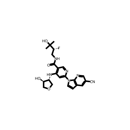 CC(C)(O)[C@H](F)CNC(=O)c1cnc(-n2ccc3cc(C#N)cnc32)cc1N[C@@H]1COC[C@H]1O